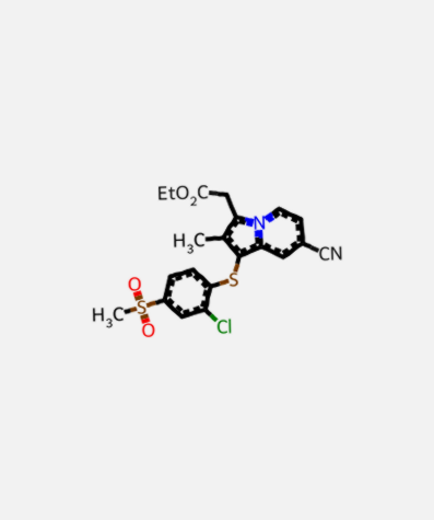 CCOC(=O)Cc1c(C)c(Sc2ccc(S(C)(=O)=O)cc2Cl)c2cc(C#N)ccn12